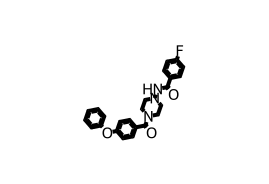 O=C(NN1CCN(C(=O)c2ccc(Oc3ccccc3)cc2)CC1)c1ccc(F)cc1